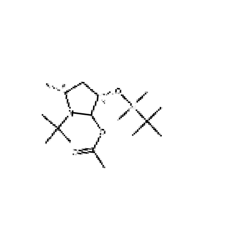 CC(=O)OC1[C@@H](O[Si](C)(C)C(C)(C)C)C[C@@H](C)N1C(C)(C)C